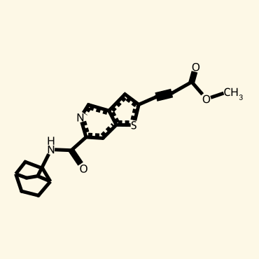 COC(=O)C#Cc1cc2cnc(C(=O)NC3CC4CCC3CC4)cc2s1